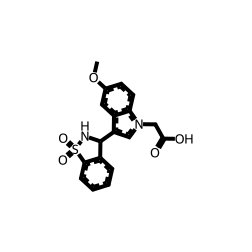 COc1ccc2c(c1)c(C1NS(=O)(=O)c3ccccc31)cn2CC(=O)O